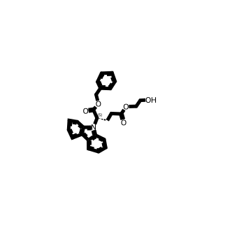 O=C(CC[C@@H](C(=O)OCc1ccccc1)n1c2ccccc2c2ccccc21)OCCO